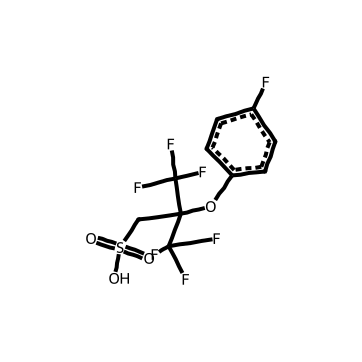 O=S(=O)(O)CC(Oc1ccc(F)cc1)(C(F)(F)F)C(F)(F)F